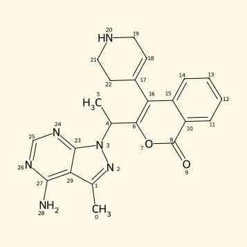 Cc1nn(C(C)c2oc(=O)c3ccccc3c2C2=CCNCC2)c2ncnc(N)c12